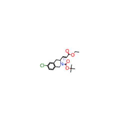 CCOC(=O)/C=C/C1Cc2cc(Cl)ccc2CN1C(=O)OC(C)(C)C